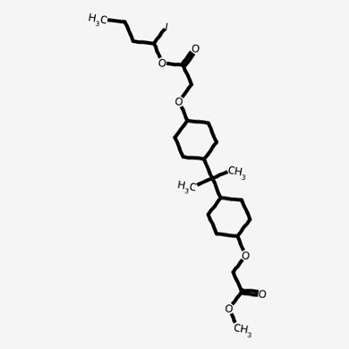 CCCC(I)OC(=O)COC1CCC(C(C)(C)C2CCC(OCC(=O)OC)CC2)CC1